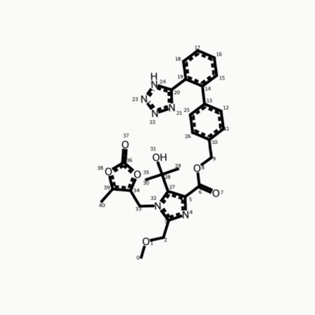 COCc1nc(C(=O)OCc2ccc(-c3ccccc3-c3nnn[nH]3)cc2)c(C(C)(C)O)n1Cc1oc(=O)oc1C